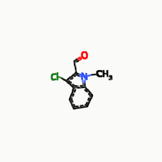 Cn1c(C=O)c(Cl)c2ccccc21